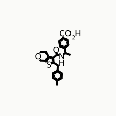 Cc1ccc(Cc2sc3c(c2C(=O)NC(C)c2ccc(C(=O)O)cc2)CCOC3)cc1